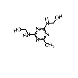 Cc1nc(NCO)nc(NCO)n1